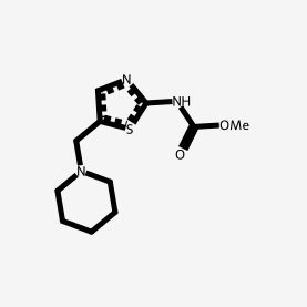 COC(=O)Nc1ncc(CN2CCCCC2)s1